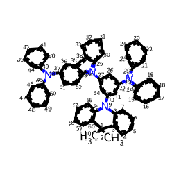 CC1(C)c2ccccc2N(c2cc(N(c3ccccc3)c3ccccc3)cc(-n3c4ccccc4c4cc(N(c5ccccc5)c5ccccc5)ccc43)c2)c2ccccc21